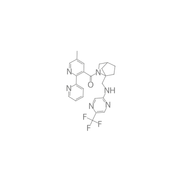 Cc1cnc(-c2ccccn2)c(C(=O)N2CC3CCC2(CNc2cnc(C(F)(F)F)cn2)C3)c1